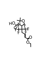 CCOC(=O)/C=C/CC(C1COC(C)(C)N1C(=O)O)(C(F)(F)F)C(F)(F)F